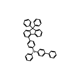 c1ccc(-c2ccc(N(c3ccccc3)c3ccc(-c4cccc5c4-c4ccccc4C5(c4ccccc4)c4ccccc4)cc3)cc2)cc1